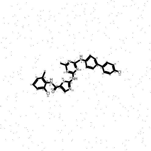 Cc1nc(Nc2ccc(-c3ccc(Cl)cc3)cc2)nc(Nc2ncc(C(=O)Nc3c(C)cccc3Cl)s2)n1